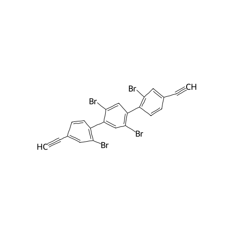 C#Cc1ccc(-c2cc(Br)c(-c3ccc(C#C)cc3Br)cc2Br)c(Br)c1